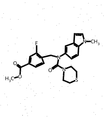 COC(=O)c1ccc(CN(C(=O)N2CCSCC2)c2ccc3c(ccn3C)c2)c(F)c1